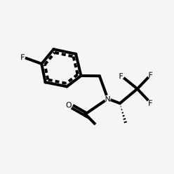 CC(=O)N(Cc1ccc(F)cc1)[C@@H](C)C(F)(F)F